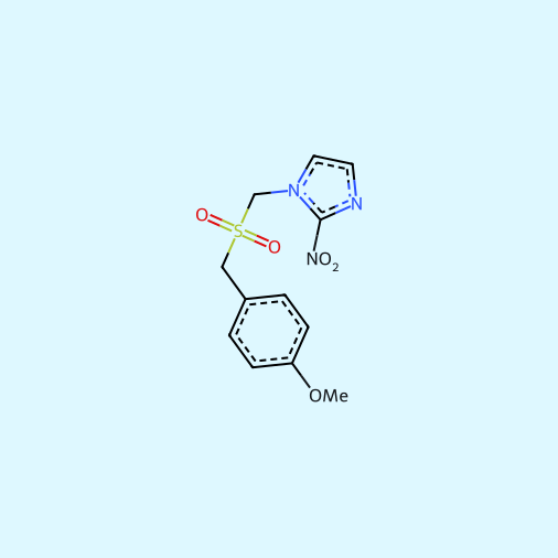 COc1ccc(CS(=O)(=O)Cn2ccnc2[N+](=O)[O-])cc1